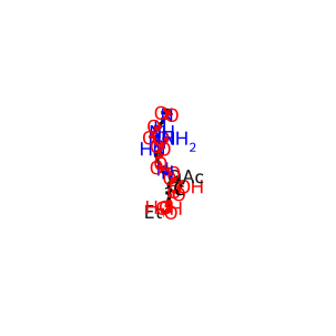 CC[C@H](O)[C@@H](C)[C@H]1O[C@@H]1C[C@@](C)(O)/C=C/C=C(\C)[C@H]1OC(=O)C[C@H](O)CC[C@@](C)(OC(C)=O)[C@@H](OC(=O)N2CCN(C(=O)OCc3ccc(NC(=O)[C@@H](CC(N)=O)NC(=O)[C@@H](C)NC(=O)[C@H](C)NC(=O)CCCCCN4C(=O)C=CC4=O)cc3)CC2)/C=C/[C@@H]1C